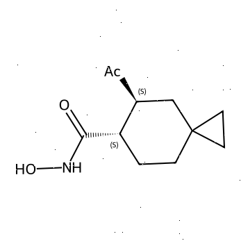 CC(=O)[C@H]1CC2(CC[C@@H]1C(=O)NO)CC2